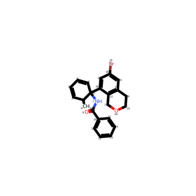 CC1C=CC=CC1(NC(=O)c1ccccc1)c1cc(Br)cc2c1COCC2